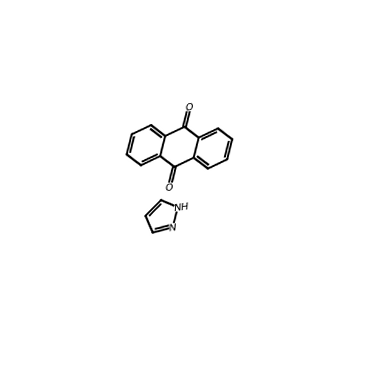 O=C1c2ccccc2C(=O)c2ccccc21.c1cn[nH]c1